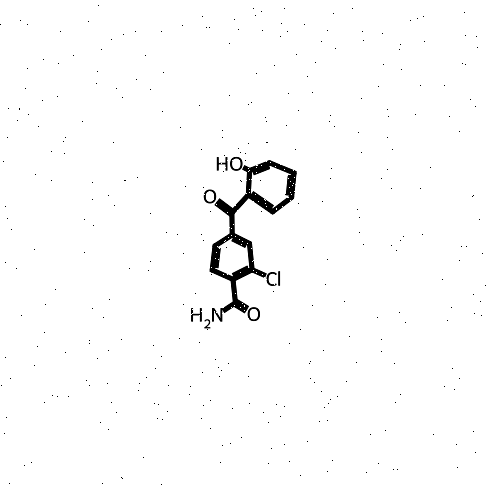 NC(=O)c1ccc(C(=O)c2ccccc2O)cc1Cl